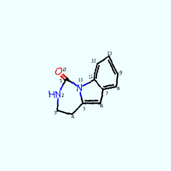 O=C1NCCc2cc3ccccc3n21